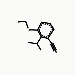 CCOc1cccc(C#N)c1C(C)C